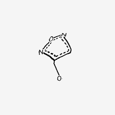 [O]c1cnon1